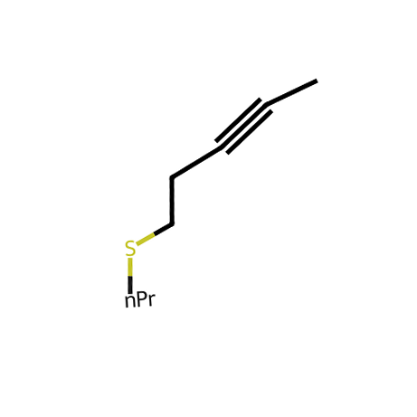 [CH2]CCSCCC#CC